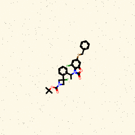 CC(c1ccccc1C1(F)CN(C(=O)OC(C)(C)C)C1)n1c(=O)oc2cc(SCc3ccccc3)cc(F)c21